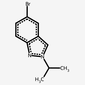 CC(C)n1cc2cc(Br)ccc2n1